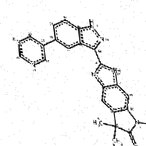 CCN1C(=O)C(C)(C)c2cc3nc(-c4n[nH]c5ccc(-c6cncnc6)cc45)[nH]c3cc21